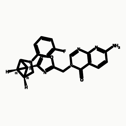 Nc1ccc2c(=O)n(Cc3nc([C@@]45C6[C@H]4[C@H]5CN6c4cccc(F)c4)no3)cnc2n1